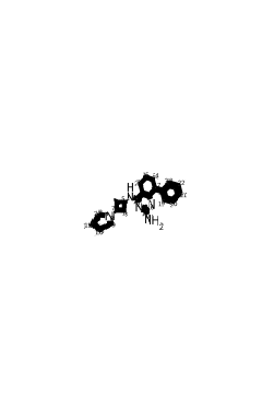 Nc1nc(N[C@H]2C[C@H](N3CCCC3)C2)c2c(n1)C(c1ccccc1)CCC2